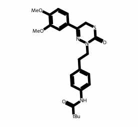 COc1ccc(C2=NN(CCc3ccc(NC(=O)C(C)(C)C)cc3)C(=O)SC2)cc1OC